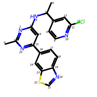 Cc1nc(NC(C)c2ccnc(Cl)c2)cc(-c2ccc3ncsc3c2)n1